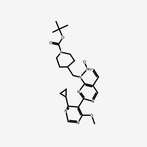 COc1ncnc(C2CC2)c1-c1ncc2c(n1)N(CC1CCN(C(=O)OC(C)(C)C)CC1)[NH+]([O-])C=C2